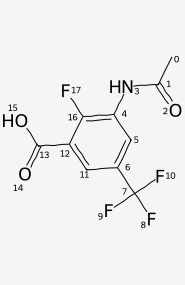 CC(=O)Nc1cc(C(F)(F)F)cc(C(=O)O)c1F